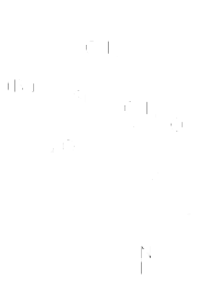 CC(C)(C)[Si](C)(C)O[C@H]1CNCC1=O